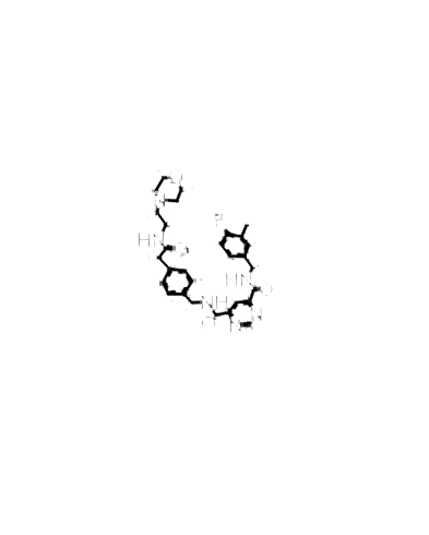 Cc1cc(CNC(=O)c2cc(C(=O)NCc3ccc(CC(=O)NCCN4CCOCC4)cc3)ncn2)ccc1F